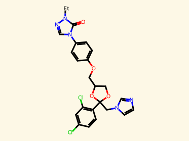 CCn1ncn(-c2ccc(OCC3COC(Cn4ccnc4)(c4ccc(Cl)cc4Cl)O3)cc2)c1=O